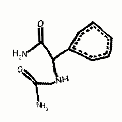 NC(=O)NC(C(N)=O)c1ccccc1